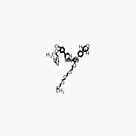 COCCOCCOCCOCCCOc1nn([C@H]2CC[C@H](N3[C@@H]4CC[C@H]3COC4)CC2)cc1Nc1ncc(-c2ccc(Cl)c(O[C@@H](C)Cn3cncn3)c2)cn1